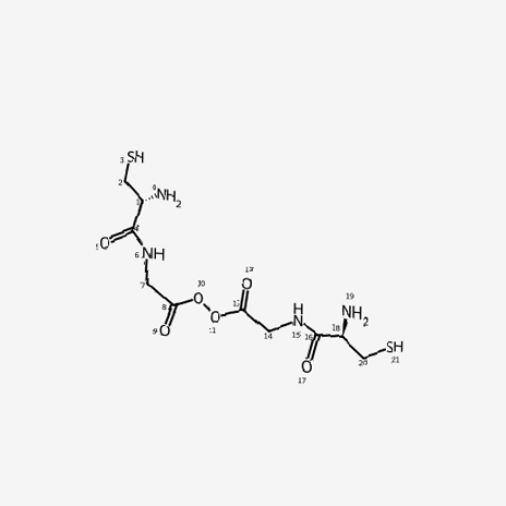 N[C@@H](CS)C(=O)NCC(=O)OOC(=O)CNC(=O)[C@@H](N)CS